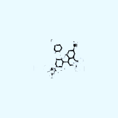 C=CS(=O)(=O)Nc1ccc(Oc2ccc(F)cc2F)c(-c2cn(C)c(=O)c3cc(C#N)ccc23)c1